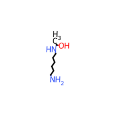 CC(O)NCCCCCCN